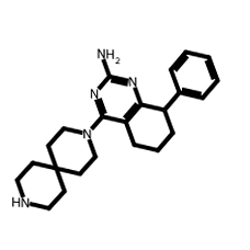 Nc1nc2c(c(N3CCC4(CCNCC4)CC3)n1)CCCC2c1ccccc1